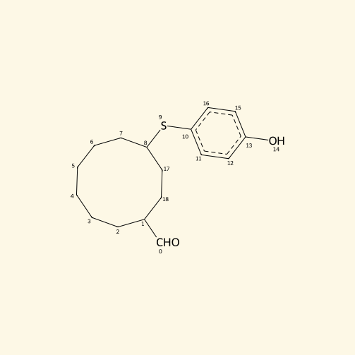 O=CC1CCCCCCC(Sc2ccc(O)cc2)CC1